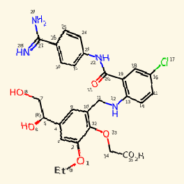 CCOc1cc([C@@H](O)CO)cc(CNc2ccc(Cl)cc2C(=O)Nc2ccc(C(=N)N)cc2)c1OCC(=O)O